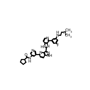 CN(C)CCNc1cc(F)cc(-c2nccc3[nH]c(-c4n[nH]c5ccc(-c6cncc(NC(=O)C7CCCC7)c6)nc45)nc23)c1